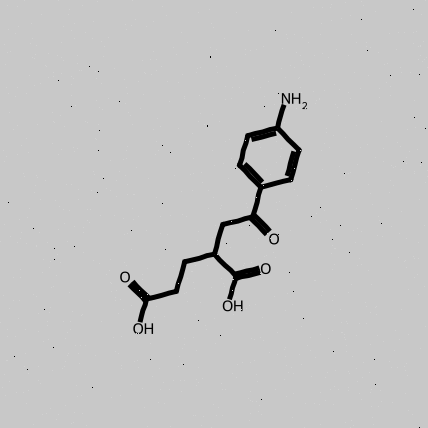 Nc1ccc(C(=O)CC(CCC(=O)O)C(=O)O)cc1